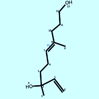 C=CC(C)(O)CC/C=C(\C)CCCO